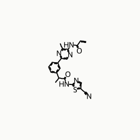 C=CC(=O)Nc1ncc(-c2cccc(C(C)C(=O)Nc3ncc(C#N)s3)c2)nc1C